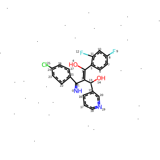 N=C(/C(=C(\O)c1ccc(F)cc1F)C(O)c1cccnc1)c1ccc(Cl)cc1